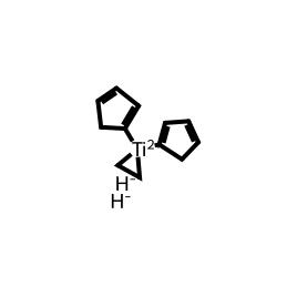 C1=CC[C]([Ti+2]2([C]3=CC=CC3)[CH2][CH2]2)=C1.[H-].[H-]